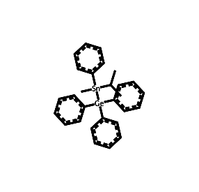 C[CH](C)[Sn]([CH3])([c]1ccccc1)[Ge]([c]1ccccc1)([c]1ccccc1)[c]1ccccc1